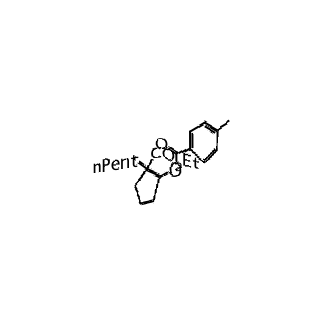 CCCCCC1(C(=O)OCC)CCCC1OC(=O)c1ccc(C)cc1